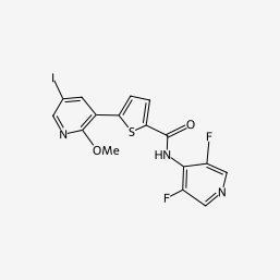 COc1ncc(I)cc1-c1ccc(C(=O)Nc2c(F)cncc2F)s1